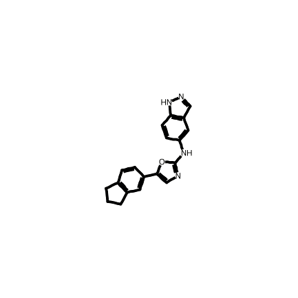 c1cc2[nH]ncc2cc1Nc1ncc(-c2ccc3c(c2)CCC3)o1